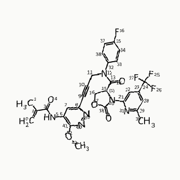 C=C(C)C(=O)Nc1cc(C#CCN(C(=O)[C@@H]2COC(=O)N2c2cc(C(F)(F)F)cc(C)n2)c2ccc(F)cc2)nnc1OC